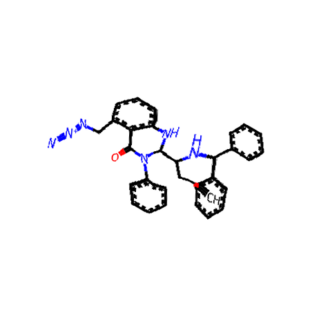 C#CCC(NC(c1ccccc1)c1ccccc1)C1Nc2cccc(CN=[N+]=[N-])c2C(=O)N1c1ccccc1